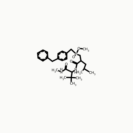 CNC(=O)C(NC(=O)C(CC(C)C)CP(=O)(Cc1ccc(Cc2ccccc2)cc1)OC)C(C)(C)C